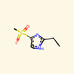 CCc1nc(S(C)(=O)=O)c[nH]1